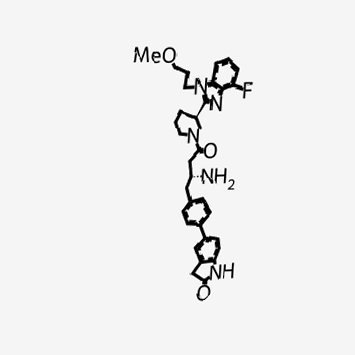 COCCCn1c([C@@H]2CCCN(C(=O)C[C@H](N)Cc3ccc(-c4ccc5c(c4)CC(=O)N5)cc3)C2)nc2c(F)cccc21